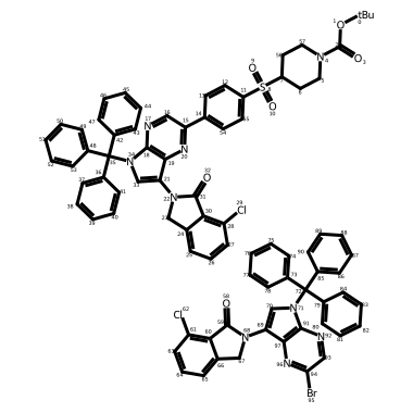 CC(C)(C)OC(=O)N1CCC(S(=O)(=O)c2ccc(-c3cnc4c(n3)c(N3Cc5cccc(Cl)c5C3=O)cn4C(c3ccccc3)(c3ccccc3)c3ccccc3)cc2)CC1.O=C1c2c(Cl)cccc2CN1c1cn(C(c2ccccc2)(c2ccccc2)c2ccccc2)c2ncc(Br)nc12